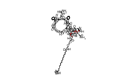 CCCC[C@H](NC(=O)[C@H](CN(C)C)NC(=O)[C@H](Cc1c[nH]cn1)NC(=O)[C@H](CCC(N)=O)NC(=O)[C@H](CO)NC(=O)CNC(=O)COCCOCCNC(=O)CCCCCCCCCCCCCCCc1nnn[nH]1)C(=O)N[C@H]1CCC(=O)NCCCC[C@@H](C(C)=O)NC(=O)[C@H](Cc2c[nH]c3ccccc23)NC(=O)[C@H](CCCNC(=N)N)NC(=O)[C@@H](Cc2ccccc2)NC(=O)[C@@H]2C[C@@H](O)CN2C1=O